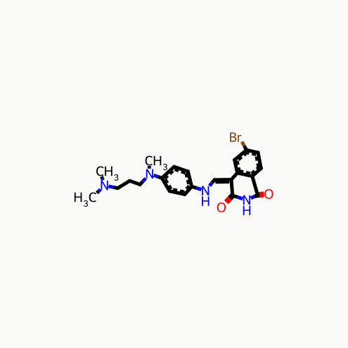 CN(C)CCCN(C)c1ccc(NC=C2C(=O)NC(=O)c3ccc(Br)cc32)cc1